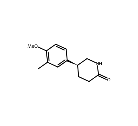 COc1ccc([C@@H]2CCC(=O)NC2)cc1C